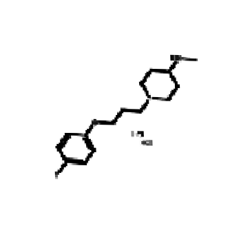 CNC1CCN(CCCOc2ccc(F)cc2)CC1.Cl.Cl